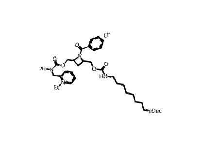 CCCCCCCCCCCCCCCCCCNC(=O)OCC1CC(COC(=O)N(Cc2cccc[n+]2CC)C(C)=O)N1C(=O)c1ccccc1.[Cl-]